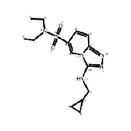 CCN(CC)S(=O)(=O)c1ccc2nnc(NCC3CC3)n2c1